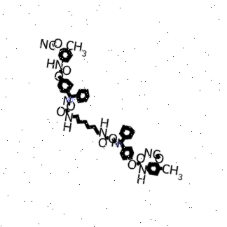 Cc1ccc(NC(=O)Oc2ccc(/C(=N/OC(=O)NCCCCCCNC(=O)O/N=C(\c3ccccc3)c3ccc(OC(=O)Nc4ccc(C)c(OC#N)c4)cc3)c3ccccc3)cc2)cc1OC#N